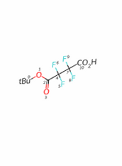 CC(C)(C)OC(=O)C(F)(F)C(F)(F)C(=O)O